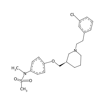 CN(c1ccc(OC[C@@H]2CCCN(CCc3cccc(Cl)c3)C2)cc1)S(C)(=O)=O